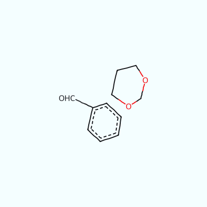 C1COCOC1.O=Cc1ccccc1